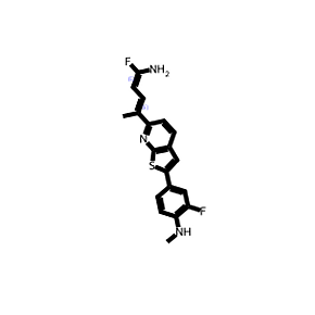 CNc1ccc(-c2cc3ccc(/C(C)=C/C=C(\N)F)nc3s2)cc1F